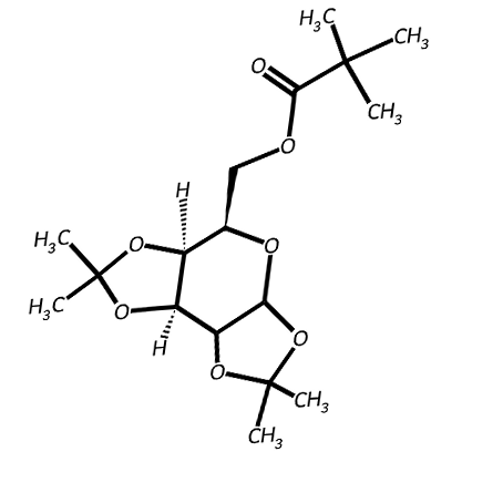 CC1(C)OC2O[C@H](COC(=O)C(C)(C)C)[C@@H]3OC(C)(C)O[C@@H]3C2O1